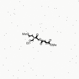 CCOCN(CCOC)C(=O)COC(=O)/C=C/C(=O)OC